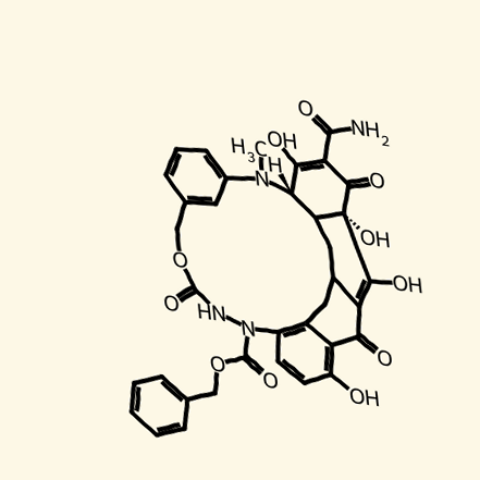 CN1c2cccc(c2)COC(=O)NN(C(=O)OCc2ccccc2)c2ccc(O)c3c2CC2CC4[C@H]1C(O)=C(C(N)=O)C(=O)[C@@]4(O)C(O)=C2C3=O